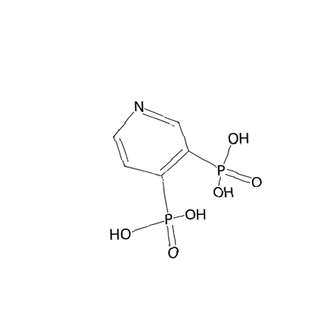 O=P(O)(O)c1ccncc1P(=O)(O)O